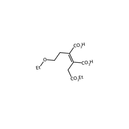 CCOCCC(C(=O)O)=C(CC(=O)OCC)C(=O)O